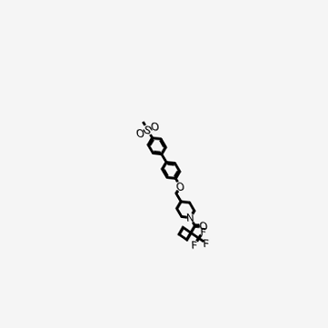 CS(=O)(=O)c1ccc(-c2ccc(OCC3CCN(C(=O)C4(C(F)(F)F)CCC4)CC3)cc2)cc1